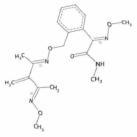 C=C(/C(C)=N/OC)/C(C)=N/OCc1ccccc1/C(=N\OC)C(=O)NC